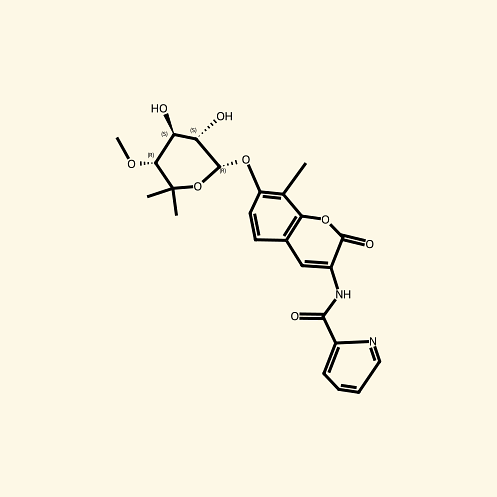 CO[C@@H]1[C@@H](O)[C@H](O)[C@H](Oc2ccc3cc(NC(=O)c4ccccn4)c(=O)oc3c2C)OC1(C)C